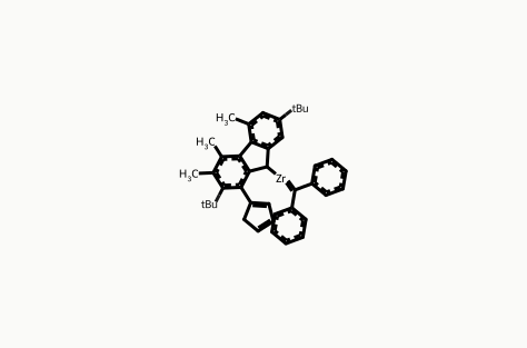 Cc1cc(C(C)(C)C)cc2c1-c1c(C)c(C)c(C(C)(C)C)c(C3=CC=CC3)c1[CH]2[Zr]=[C](c1ccccc1)c1ccccc1